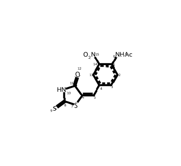 CC(=O)Nc1ccc(C=C2SC(=S)NC2=O)cc1[N+](=O)[O-]